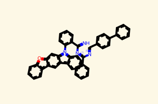 N=C(/N=C(\N=C\c1ccc(-c2ccccc2)cc1)c1ccccc1)c1ccccc1-n1c2ccccc2c2cc3c(cc21)oc1ccccc13